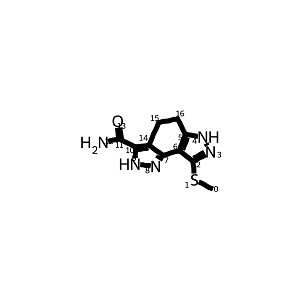 CSc1n[nH]c2c1-c1n[nH]c(C(N)=O)c1CC2